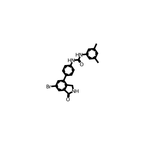 Cc1cc(C)cc(NC(=O)Nc2ccc(-c3cc(Br)cc4c3CNC4=O)cc2)c1